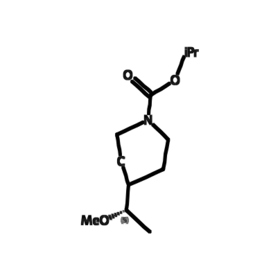 CO[C@@H](C)C1CCN(C(=O)OC(C)C)CC1